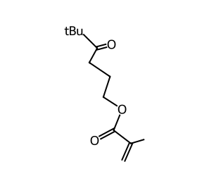 C=C(C)C(=O)OCCCC(=O)C(C)(C)C